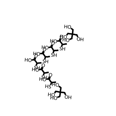 CC(S)C(=O)O.CC(S)C(=O)O.CC(S)C(=O)O.CC(S)C(=O)O.CC(S)C(=O)O.CC(S)C(=O)O.OCC(CO)(CO)CO.OCC(CO)(CO)CO